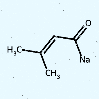 CC(C)=C[C](=O)[Na]